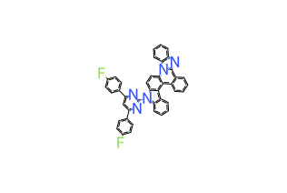 Fc1ccc(-c2cc(-c3ccc(F)cc3)nc(-n3c4ccccc4c4c5c6ccccc6c6nc7ccccc7n6c5ccc43)n2)cc1